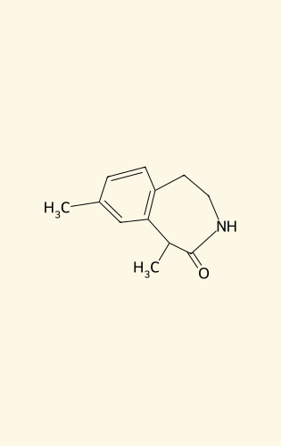 Cc1ccc2c(c1)C(C)C(=O)NCC2